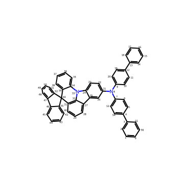 c1ccc(-c2ccc(N(c3ccc(-c4ccccc4)cc3)c3ccc4c(c3)c3cccc5c3n4-c3ccccc3C53c4ccccc4-c4ccccc43)cc2)cc1